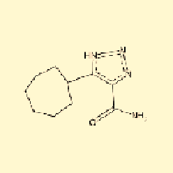 NC(=O)c1nn[nH]c1C1CCCCCC1